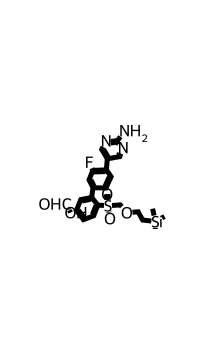 C[Si](C)(C)CCOCS(=O)(=O)c1ccccc1-c1ccc(-c2cnc(N)nc2)c(F)c1.O=CO